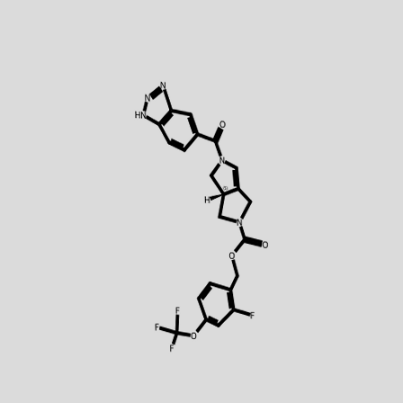 O=C(c1ccc2[nH]nnc2c1)N1C=C2CN(C(=O)OCc3ccc(OC(F)(F)F)cc3F)C[C@@H]2C1